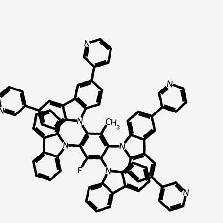 Cc1c(-n2c3ccc(-c4cccnc4)cc3c3cc(-c4cccnc4)ccc32)c(-n2c3ccccc3c3ccccc32)c(F)c(-n2c3ccccc3c3ccccc32)c1-n1c2ccc(-c3cccnc3)cc2c2cc(-c3cccnc3)ccc21